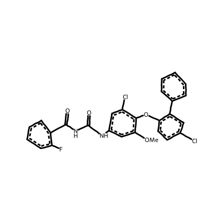 COc1cc(NC(=O)NC(=O)c2ccccc2F)cc(Cl)c1Oc1ccc(Cl)cc1-c1ccccc1